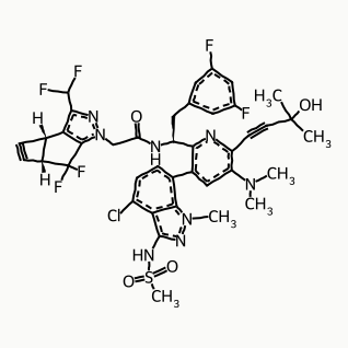 CN(C)c1cc(-c2ccc(Cl)c3c(NS(C)(=O)=O)nn(C)c23)c([C@H](Cc2cc(F)cc(F)c2)NC(=O)Cn2nc(C(F)F)c3c2C(F)(F)[C@@H]2C#C[C@H]32)nc1C#CC(C)(C)O